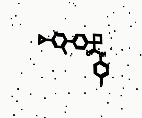 Cc1cc(C2CC2)ncc1-c1ccc(C2(C(=O)Nc3ccc(F)cn3)CCC2)cc1